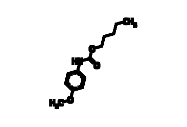 CCCCCOC(=O)Nc1ccc(OC)cc1